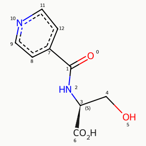 O=C(N[C@@H](CO)C(=O)O)c1ccncc1